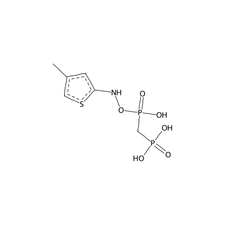 Cc1csc(NOP(=O)(O)CP(=O)(O)O)c1